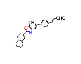 Cc1oc(-c2ccc3ccccc3c2)nc1/C=C/c1ccc(/C=C/C=O)cc1